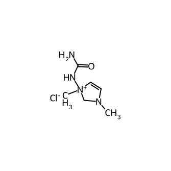 CN1C=C[N+](C)(NC(N)=O)C1.[Cl-]